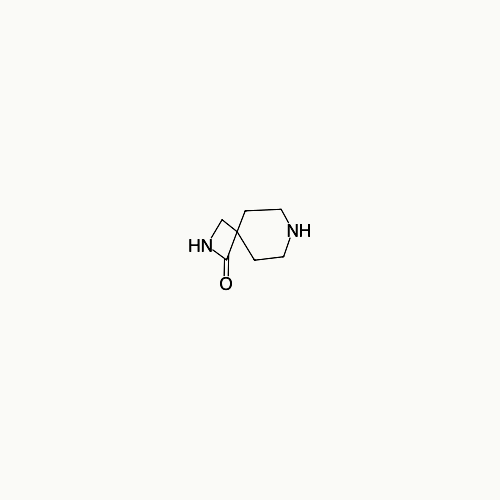 O=C1NCC12CCNCC2